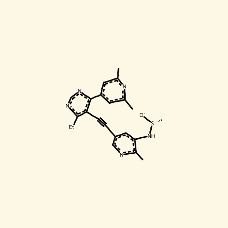 CCc1ncnc(-c2cc(C)nc(C)c2)c1C#Cc1cnc(C)c(N[S@@+](C)[O-])c1